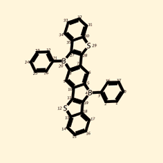 c1ccc(B2c3cc4c(cc3-c3sc5ccccc5c32)B(c2ccccc2)c2c-4sc3ccccc23)cc1